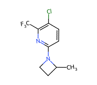 CC1CCN1c1ccc(Cl)c(C(F)(F)F)n1